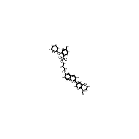 Cc1ccc(S(=O)(=O)OCCCOc2ccc3nc(-c4cnc5c(c4)OCCN5C)ccc3c2)c(OC2CCCCO2)c1